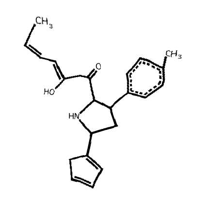 C/C=C\C=C(/O)C(=O)C1NC(C2=CC=CC2)CC1c1ccc(C)cc1